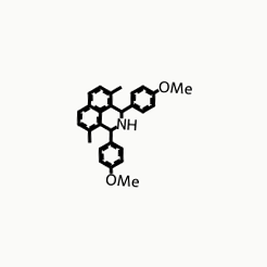 COc1ccc(C2NC(c3ccc(OC)cc3)c3c(C)ccc4ccc(C)c2c34)cc1